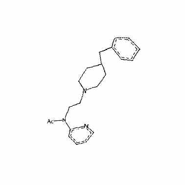 CC(=O)N(CCN1CCC(Cc2ccccc2)CC1)c1ccccn1